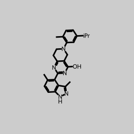 Cc1ccc(C(C)C)cc1N1CCc2nc(-c3c(C)ccc4[nH]nc(C)c34)nc(O)c2C1